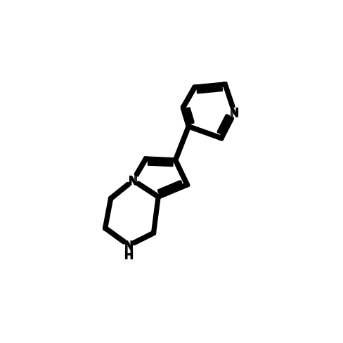 c1cncc(-c2cc3n(c2)CCNC3)c1